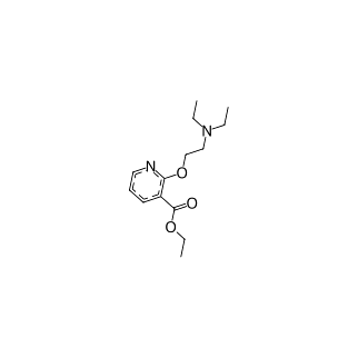 CCOC(=O)c1cccnc1OCCN(CC)CC